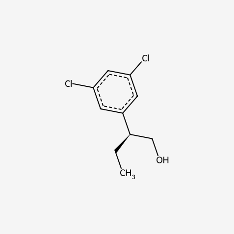 CC[C@H](CO)c1cc(Cl)cc(Cl)c1